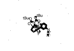 CC(C)(C)OC(=O)N(C(=O)OC(C)(C)C)C1=N[C@](CF)(c2cc(N=[N+]=[N-])ccc2F)[C@@H]2CC[C@@]1(C)S2(=O)=O